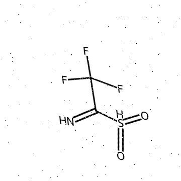 N=C([SH](=O)=O)C(F)(F)F